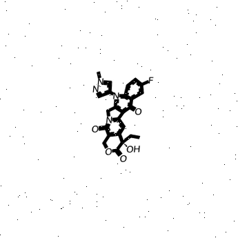 CC[C@@]1(O)C(=O)OCc2c1cc1n(c2=O)Cc2c-1c(=O)c1cc(F)ccc1n2-c1cnn(C)c1